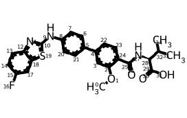 COc1cc(-c2ccc(Nc3nc4ccc(F)cc4s3)cc2)ccc1C(=O)N[C@H](C(=O)O)C(C)C